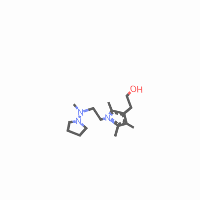 Cc1c(CCO)c(C)n(CCN(C)N2CCCC2)c1C